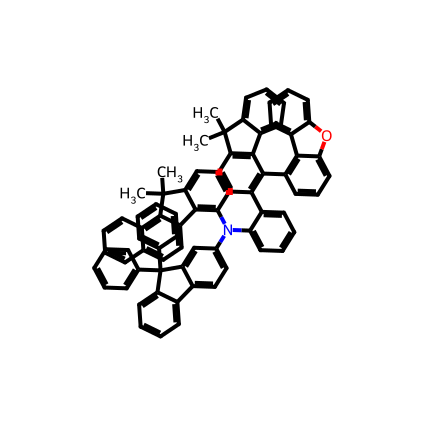 CC1(C)c2ccccc2-c2c1ccc(-c1ccccc1N(c1ccc3c(c1)C(c1ccccc1)(c1ccccc1)c1ccccc1-3)c1cccc3c1-c1ccc4ccccc4c1C3(C)C)c2-c1cccc2oc3ccccc3c12